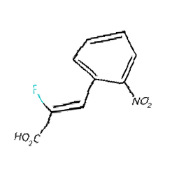 O=C(O)C(F)=Cc1ccccc1[N+](=O)[O-]